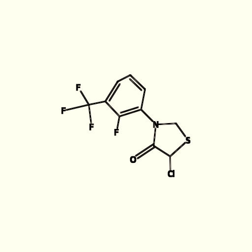 O=C1C(Cl)SCN1c1cccc(C(F)(F)F)c1F